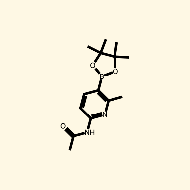 CC(=O)Nc1ccc(B2OC(C)(C)C(C)(C)O2)c(C)n1